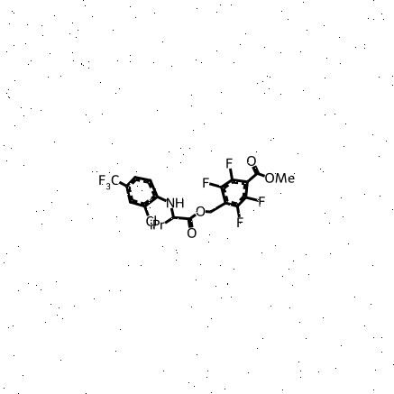 COC(=O)c1c(F)c(F)c(COC(=O)C(Nc2ccc(C(F)(F)F)cc2Cl)C(C)C)c(F)c1F